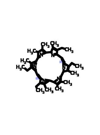 CCC1=C(C)C2N=C1/C=C1\NC(C3=NC(C4=N/C(=C\c5[nH]c(c(C)c5CC)C5=NC2=C(C)C5C)C(CC)=C4C)C(C)=C3C)C(C)=C1CC